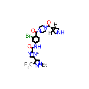 CCn1cc(-c2cnc(C(=O)Nc3ccc(C(=O)N4CCN(C(=O)[C@H]5[C@@H]6CNC[C@@H]65)CC4)c(Br)c3)n2C)c(C(F)(F)F)n1